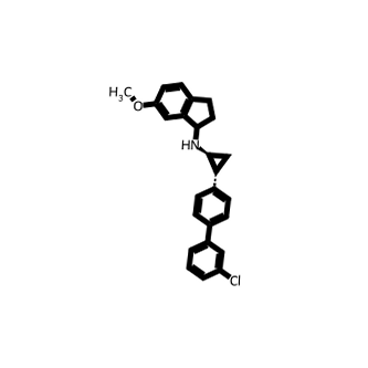 COc1ccc2c(c1)C(N[C@H]1C[C@@H]1c1ccc(-c3cccc(Cl)c3)cc1)CC2